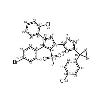 CS(=O)(=O)c1c(-c2nnc(C3(c4ccc(Cl)cc4)CC3)o2)nn(-c2ccccc2Cl)c1-c1ccc(Br)cc1